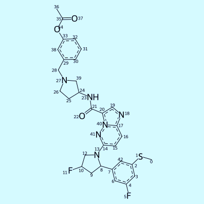 CSc1cc(F)cc(C2CC(F)CN2c2ccc3ncc(C(=O)NC4CCN(Cc5cccc(OC(C)=O)c5)C4)n3n2)c1